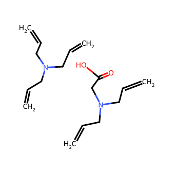 C=CCN(CC=C)CC(=O)O.C=CCN(CC=C)CC=C